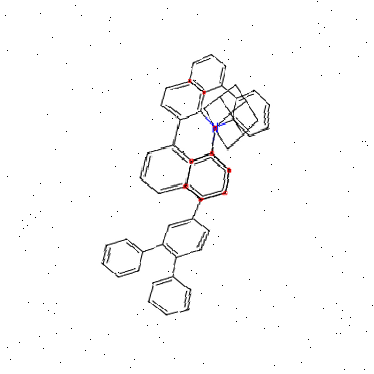 c1ccc(-c2ccc(-c3ccc(N(c4ccccc4-c4ccccc4)c4ccccc4-c4cccc5cccc(C67CC8CC9CC(C6)C987)c45)cc3)cc2-c2ccccc2)cc1